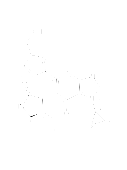 CCn1ccc(-c2cc(O[C@H](C)[C@H]3CNC(=O)C3)c3c(c2)ncn3C2CC2)n1